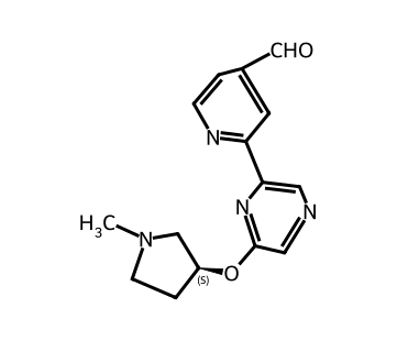 CN1CC[C@H](Oc2cncc(-c3cc(C=O)ccn3)n2)C1